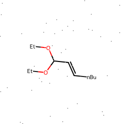 CCCCC=CC(OCC)OCC